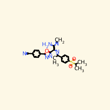 C=N/C(N)=C(\N=C(/C)c1ccc(S(=O)(=O)C(C)C)cc1)c1nnc(-c2ccc(C#N)cc2)o1